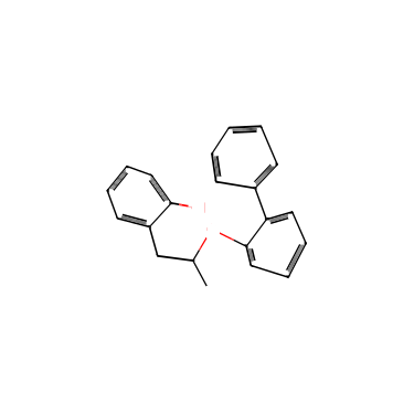 CC(Cc1ccccc1O)Oc1ccccc1-c1ccccc1